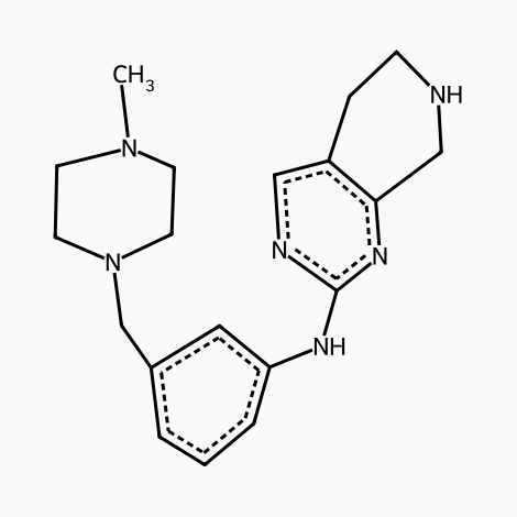 CN1CCN(Cc2cccc(Nc3ncc4c(n3)CNCC4)c2)CC1